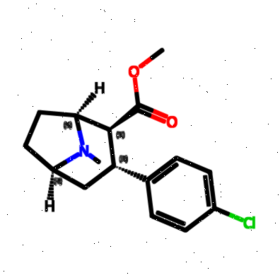 COC(=O)[C@H]1[C@H](c2ccc(Cl)cc2)C[C@H]2CC[C@@H]1N2C